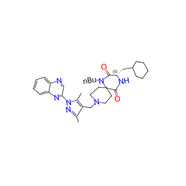 CCCCN1C(=O)[C@H](CC2CCCCC2)NC(=O)C12CCN(Cc1c(C)nn(-c3cnc4ccccc4n3)c1C)CC2